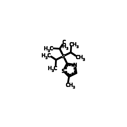 Cc1cnc(S(C(C)C)(C(C)C)C(C)C)s1